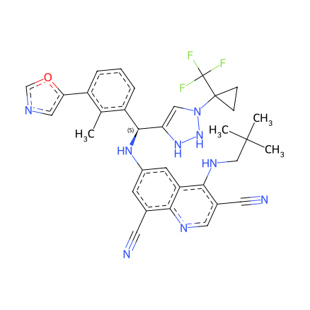 Cc1c(-c2cnco2)cccc1[C@H](Nc1cc(C#N)c2ncc(C#N)c(NCC(C)(C)C)c2c1)C1=CN(C2(C(F)(F)F)CC2)NN1